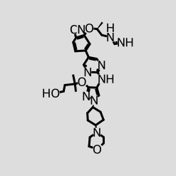 C[C@@H](CNC=N)Oc1cc(-c2cnc(Nc3cn([C@H]4CC[C@H](N5CCOCC5)CC4)nc3OC(C)(C)CCO)nc2)ccc1C#N